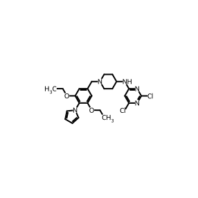 CCOc1cc(CN2CCC(Nc3cc(Cl)nc(Cl)n3)CC2)cc(OCC)c1-n1cccc1